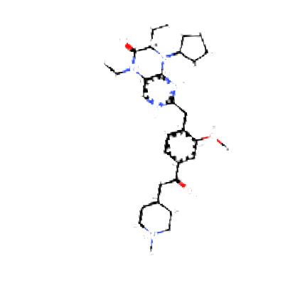 CC[C@@H]1C(=O)N(CC)c2cnc(Cc3ccc(C(=O)CC4CCN(C)CC4)cc3OC)nc2N1C1CCCC1